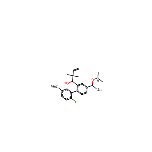 C=CC(C)(C)C(O)c1cc(C(O[SiH](C)C)C(C)(C)C)ccc1-c1cc(OC)ccc1F